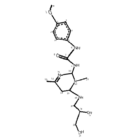 COc1ccc(NC(=O)NC2N=C(C)CC(NCC(O)CO)N2C)cc1